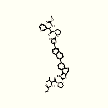 COC(=O)NC(C(=O)N1CCC[C@H]1c1nc(-c2ccc3cc(-c4ccc5c(ccc6nc([C@@H]7CCCN7C(=O)C(NC(=O)OC)C(C)C)[nH]c65)c4)ccc3c2)c[nH]1)c1cccnc1